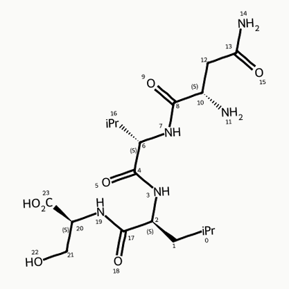 CC(C)C[C@H](NC(=O)[C@@H](NC(=O)[C@@H](N)CC(N)=O)C(C)C)C(=O)N[C@@H](CO)C(=O)O